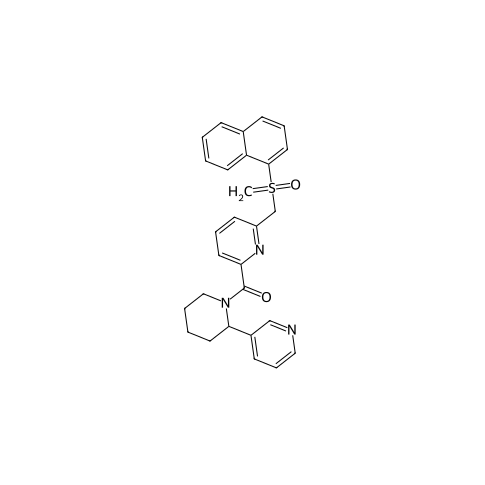 C=S(=O)(Cc1cccc(C(=O)N2CCCCC2c2cccnc2)n1)c1cccc2ccccc12